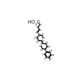 O=C(O)CCC=C[C@H]1CC[C@H]([C@H]2CC[C@H](c3ccc(F)cc3)CC2)CC1